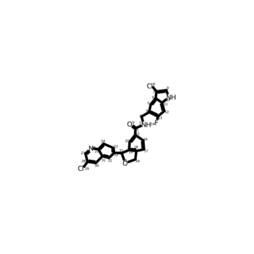 O=C(NCc1cc2c(Cl)c[nH]c2cc1F)c1ccc2c(c1)C(c1ccc3ncc(Cl)cc3c1)OC2